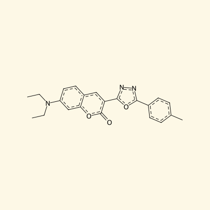 CCN(CC)c1ccc2cc(-c3nnc(-c4ccc(C)cc4)o3)c(=O)oc2c1